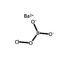 [Ba+2].[O-]B([O-])OCl